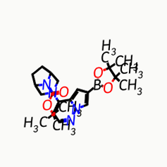 CC(C)(C)OC(=O)N1C2CCC1CN(c1ccnn3cc(B4OC(C)(C)C(C)(C)O4)cc13)C2